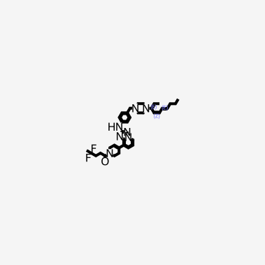 C\C=C(/C=C\C=C\CCC)N1CCN(Cc2ccc(Nc3nc4c(C5=CCN(C(=O)CCC(C)(F)F)CC5)cccn4n3)cc2)CC1